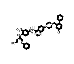 O=[N+]([O-])c1cc(S(=O)(=O)Nc2ncnc3cc(N4CCN(Cc5cc(Cl)ccc5-c5ccccc5)CC4)ccc23)ccc1N[C@H](CCO)CSc1ccccc1